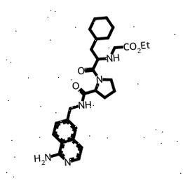 CCOC(=O)CNC(CC1CCCCC1)C(=O)N1CCCC1C(=O)NCc1ccc2c(N)nccc2c1